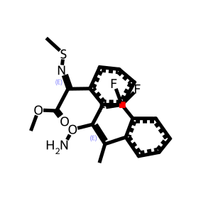 COC(=O)/C(=N/SC)c1ccccc1/C(ON)=C(/C)c1ccccc1C(F)(F)F